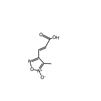 Cc1c(/C=C/C(=O)O)no[n+]1[O-]